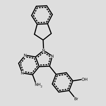 Nc1ncnc2c1c(-c1ccc(Br)c(O)c1)nn2C1Cc2ccccc2C1